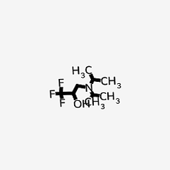 CC(C)N(CC(O)C(F)(F)F)C(C)C